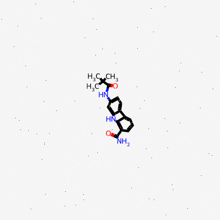 CC(C)(C)C(=O)Nc1ccc2c(c1)[nH]c1c(C(N)=O)cccc12